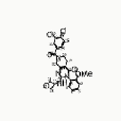 COc1ccccc1-n1c(NC2COC2)nc2c(c1=O)CCN(C(=O)c1ccc(Cl)c(Cl)c1)C2